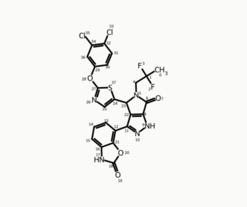 CC(F)(F)CN1C(=O)c2[nH]nc(-c3cccc4[nH]c(=O)oc34)c2C1c1cnc(Oc2ccc(Cl)c(Cl)c2)s1